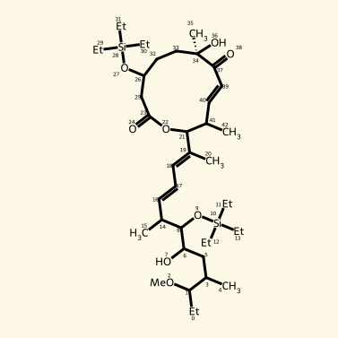 CCC(OC)C(C)CC(O)C(O[Si](CC)(CC)CC)C(C)/C=C/C=C(\C)C1OC(=O)CC(O[Si](CC)(CC)CC)CC[C@@](C)(O)C(=O)/C=C/C1C